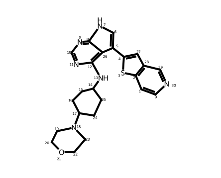 c1cc2sc(-c3c[nH]c4ncnc(NC5CCC(N6CCOCC6)CC5)c34)cc2cn1